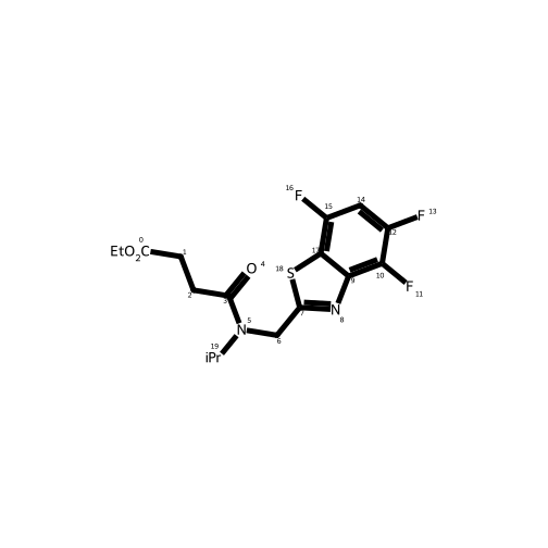 CCOC(=O)CCC(=O)N(Cc1nc2c(F)c(F)cc(F)c2s1)C(C)C